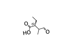 CC[C@H](C(=O)O)C(C)C=O